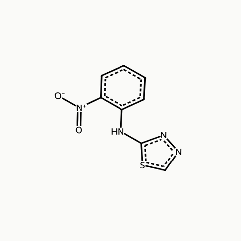 O=[N+]([O-])c1ccccc1Nc1nncs1